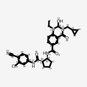 CCN1c2ccc(C(=O)N[C@H]3CCC[C@H]3C(=O)Nc3ccc(C#N)c(Cl)c3)cc2C(=O)N(CC2CC2)C1O